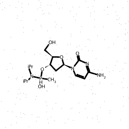 CC(C)N(C(C)C)[PH](C)(O)O[C@H]1C[C@H](n2ccc(N)nc2=O)O[C@@H]1CO